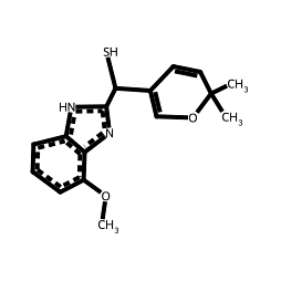 COc1cccc2[nH]c(C(S)C3=COC(C)(C)C=C3)nc12